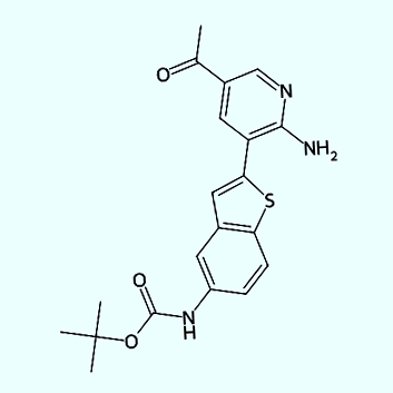 CC(=O)c1cnc(N)c(-c2cc3cc(NC(=O)OC(C)(C)C)ccc3s2)c1